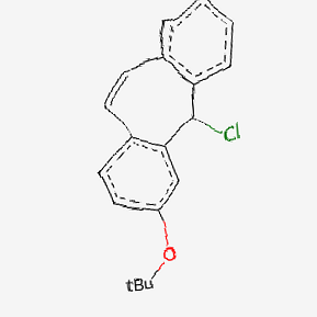 CC(C)(C)Oc1ccc2c(c1)C(Cl)c1ccccc1C=C2